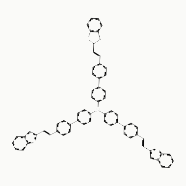 C(=C\c1cc2ccccc2s1)/c1ccc(-c2ccc(N(c3ccc(-c4ccc(/C=C/c5cc6ccccc6s5)cc4)cc3)c3ccc(-c4ccc(/C=C/C5Cc6ccccc6S5)cc4)cc3)cc2)cc1